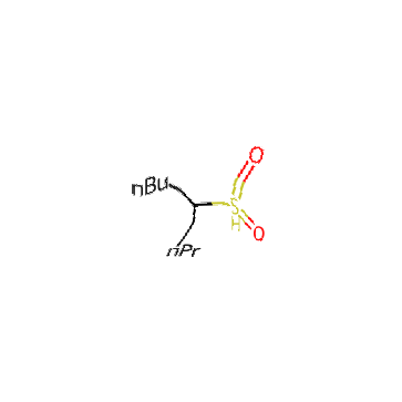 [CH2]CCCC(CCC)[SH](=O)=O